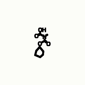 CN(C(=O)O)C(=O)OC1CCCCC1